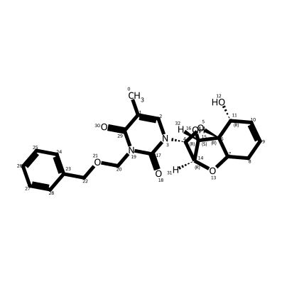 Cc1cn([C@@H]2O[C@]34C(CC=C[C@H]3O)O[C@@H]2[C@@H]4O)c(=O)n(COCc2ccccc2)c1=O